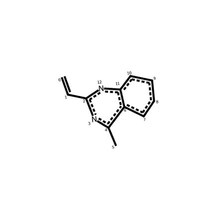 C=Cc1nc(C)c2ccccc2n1